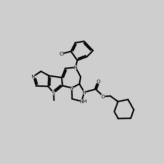 CS1=C2C(=CN(c3ccccc3Cl)CC3N2CNN3C(=O)OCC2CCCCC2)C2=C1C=NC2